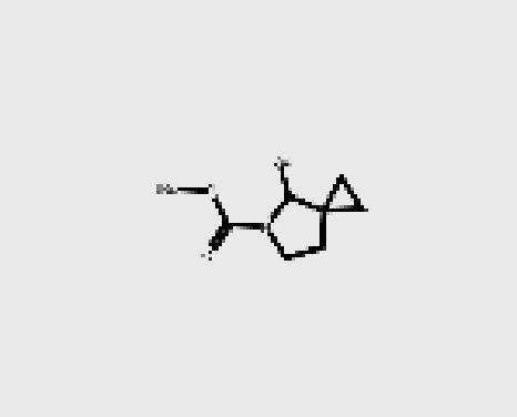 CC(=O)C1N(C(=O)OC(C)(C)C)CCC12CC2